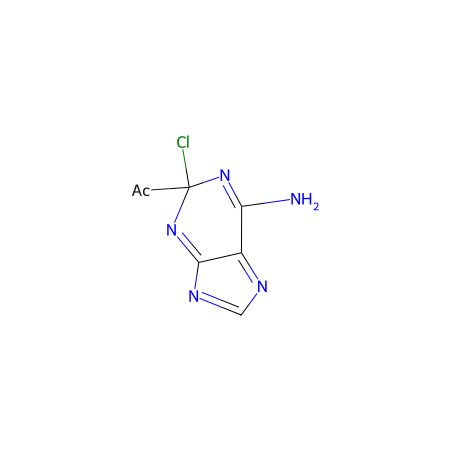 CC(=O)C1(Cl)N=C(N)C2=NC=NC2=N1